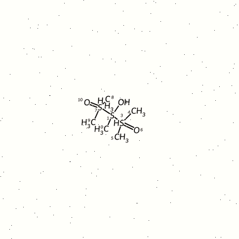 CS(O)([SH](C)(C)=O)[SH](C)(C)=O